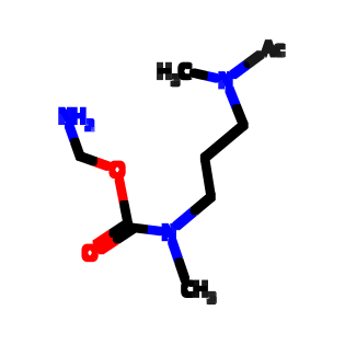 CC(=O)N(C)CCCN(C)C(=O)OCN